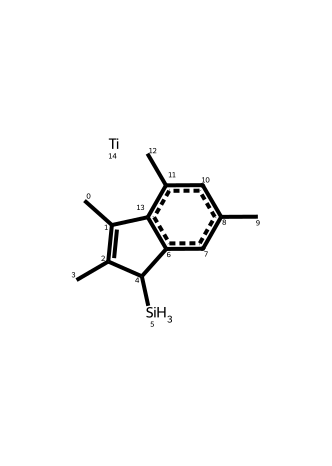 CC1=C(C)C([SiH3])c2cc(C)cc(C)c21.[Ti]